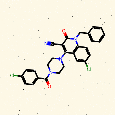 N#Cc1c(N2CCN(C(=O)c3ccc(Cl)cc3)CC2)c2cc(Cl)ccc2n(Cc2ccccc2)c1=O